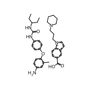 CCC(CC)NC(=O)Nc1ccc(Oc2ccc(N)cc2C)cc1.O=C(O)c1ccc2c(ccn2CCCN2CCCCC2)c1